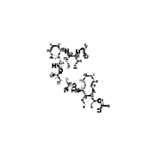 CC(=O)OC1CCCc2c1nc1ccccc1c2NOC(=O)/C=C/C(=O)ONc1c2c(nc3ccccc13)C(OC(C)=O)CCC2